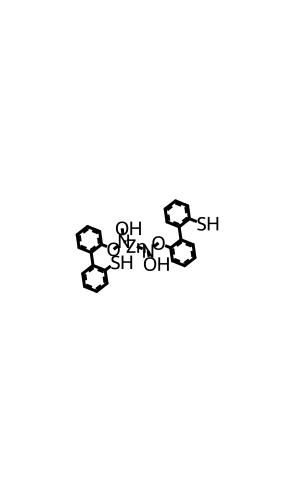 O[N](Oc1ccccc1-c1ccccc1S)[Zn][N](O)Oc1ccccc1-c1ccccc1S